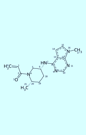 C=CC(=O)N1C[C@H](Nc2ncnc3c2ccn3C)CC[C@@H]1C